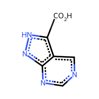 O=C(O)c1[nH]nc2ncncc12